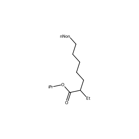 CCCCCCCCCCCCCCC(CC)C(=O)OC(C)C